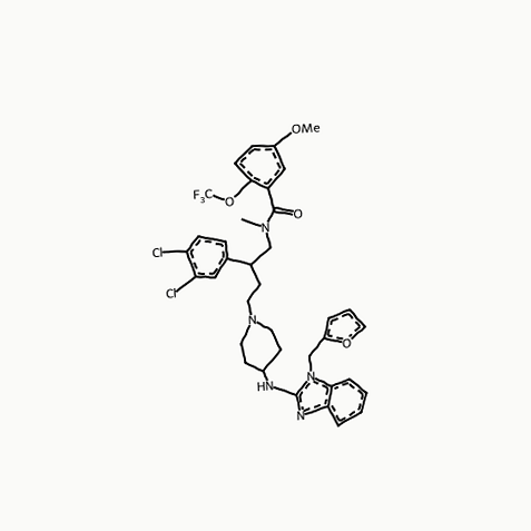 COc1ccc(OC(F)(F)F)c(C(=O)N(C)CC(CCN2CCC(Nc3nc4ccccc4n3Cc3ccco3)CC2)c2ccc(Cl)c(Cl)c2)c1